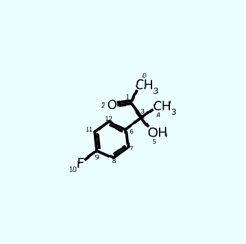 CC(=O)C(C)(O)c1ccc(F)cc1